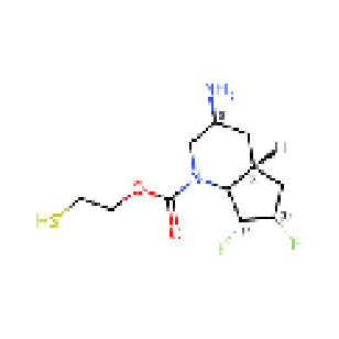 N[C@H]1C[C@@H]2C[C@H](F)[C@H](F)C2N(C(=O)OCCS)C1